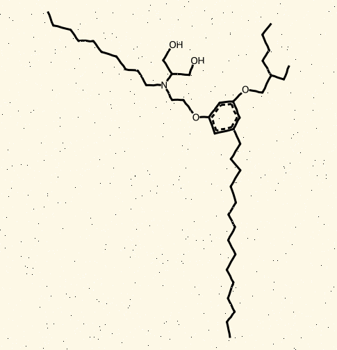 CCCCCCCCCCCCCCCc1cc(OCCN(CCCCCCCCCC)C(CO)CO)cc(OCC(CC)CCCC)c1